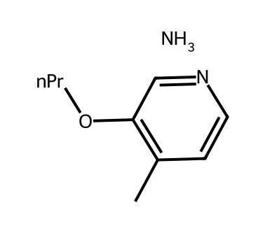 CCCOc1cnccc1C.N